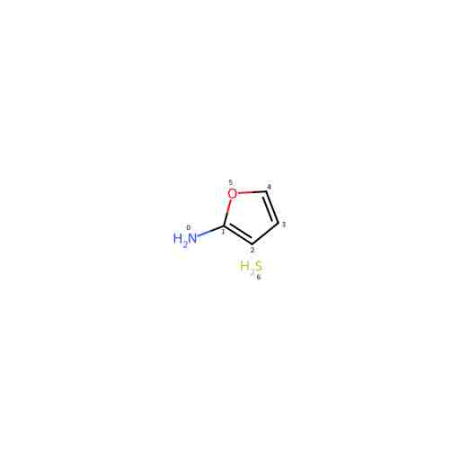 Nc1ccco1.S